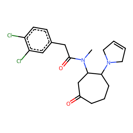 CN(C(=O)Cc1ccc(Cl)c(Cl)c1)C1CC(=O)CCCC1N1CC=CC1